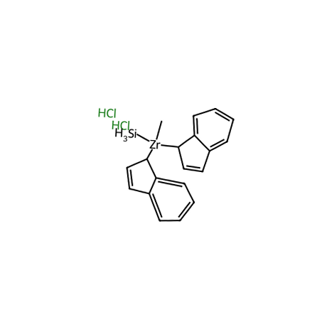 Cl.Cl.[CH3][Zr]([SiH3])([CH]1C=Cc2ccccc21)[CH]1C=Cc2ccccc21